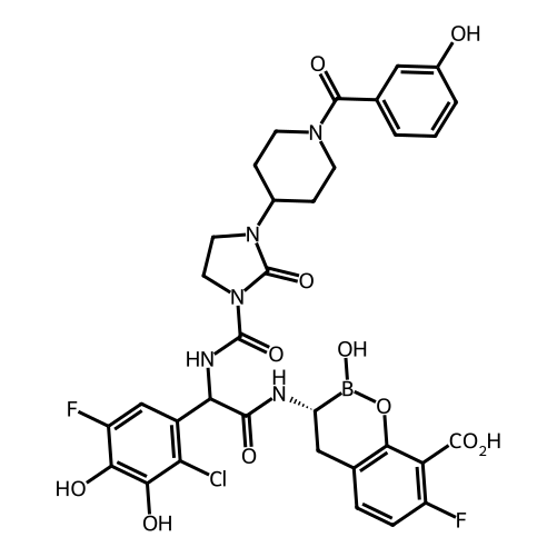 O=C(O)c1c(F)ccc2c1OB(O)[C@@H](NC(=O)C(NC(=O)N1CCN(C3CCN(C(=O)c4cccc(O)c4)CC3)C1=O)c1cc(F)c(O)c(O)c1Cl)C2